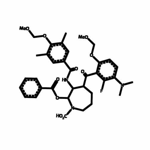 COCOc1ccc(N(C)C)c(F)c1C(=O)C1CCCN(C(=O)O)C(OC(=O)c2ccccc2)C1NC(=O)c1cc(C)c(OCOC)c(C)c1